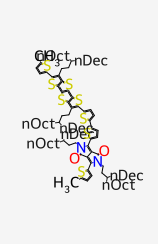 CCCCCCCCCCC(CCCCCCCC)CCc1c(-c2ccc(C)s2)sc2c1sc1c3sc(-c4ccc(-c5ccc(C6=C7C(=O)N(CCC(CCCCCCCC)CCCCCCCCCC)C(c8ccc(C)s8)=C7C(=O)N6CCC(CCCCCCCC)CCCCCCCCCC)s5)s4)c(CCC(CCCCCCCC)CCCCCCCCCC)c3sc21